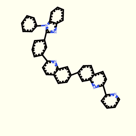 c1ccc(-n2c(-c3cccc(-c4ccc5ccc(-c6ccc7ccc(-c8ccccn8)nc7c6)cc5n4)c3)nc3ccccc32)cc1